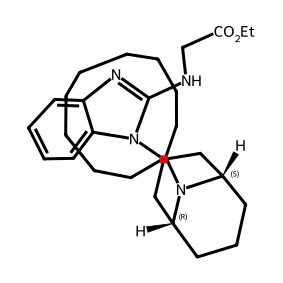 CCOC(=O)CNc1nc2ccccc2n1C1C[C@H]2CCC[C@@H](C1)N2C1CCCCCCCCC1